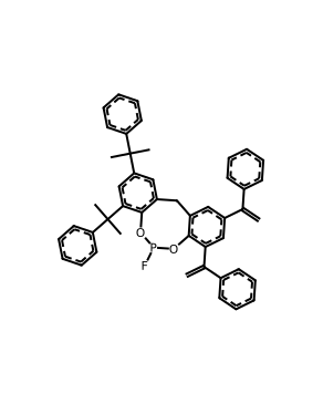 C=C(c1ccccc1)c1cc2c(c(C(=C)c3ccccc3)c1)OP(F)Oc1c(cc(C(C)(C)c3ccccc3)cc1C(C)(C)c1ccccc1)C2